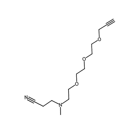 C#CCOCCOCCOCCN(C)CCC#N